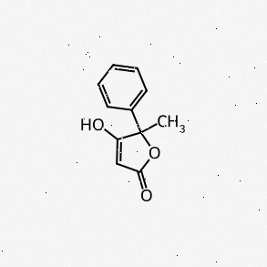 CC1(c2ccccc2)OC(=O)C=C1O